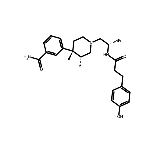 CC(C)[C@@H](CN1CC[C@@](C)(c2cccc(C(N)=O)c2)[C@@H](C)C1)NC(=O)CCc1ccc(O)cc1